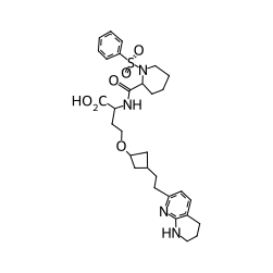 O=C(O)C(CCOC1CC(CCc2ccc3c(n2)NCCC3)C1)NC(=O)C1CCCCN1S(=O)(=O)c1ccccc1